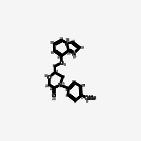 COc1ccc(N2CC(COc3cccn4ccnc34)OCC2=O)cc1